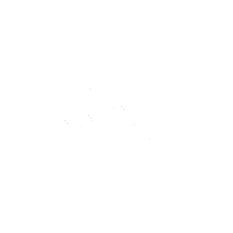 Cn1c(=O)n(-c2ccc(CCCO)nc2)c2ccccc21